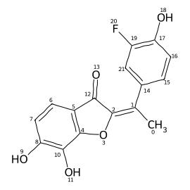 CC(=C1Oc2c(ccc(O)c2O)C1=O)c1ccc(O)c(F)c1